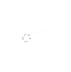 CSCCc1cccs1